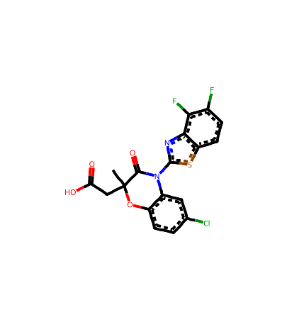 CC1(CC(=O)O)Oc2ccc(Cl)cc2N(c2nc3c(F)c(F)ccc3s2)C1=O